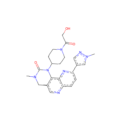 CN1Cc2cnc3ccc(-c4cnn(C)c4)nc3c2N(C2CCN(C(=O)CO)CC2)C1=O